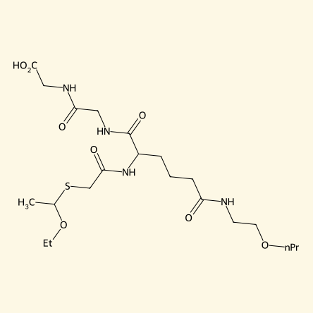 CCCOCCNC(=O)CCCC(NC(=O)CSC(C)OCC)C(=O)NCC(=O)NCC(=O)O